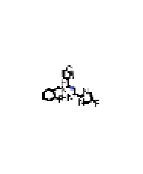 N=C(/C=C(\NCc1ccccc1F)c1ccon1)c1ncc(F)cn1